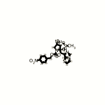 C[SiH](C)O[C@]1(C(O)c2ncn3ccsc23)C[C@H](C(C)(C)C)CN1C(=O)OCc1ccc([N+](=O)[O-])cc1